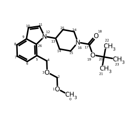 COCOCc1cccc2ccn(C3CCN(C(=O)OC(C)(C)C)CC3)c12